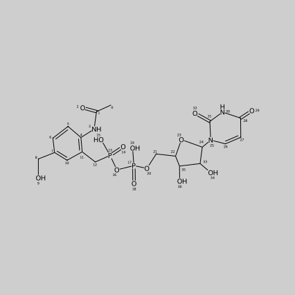 CC(=O)Nc1ccc(CO)cc1CP(=O)(O)OP(=O)(O)OCC1OC(n2ccc(=O)[nH]c2=O)C(O)C1O